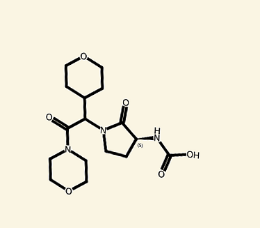 O=C(O)N[C@H]1CCN(C(C(=O)N2CCOCC2)C2CCOCC2)C1=O